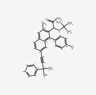 CC(=O)C(OC(C)(C)C)c1c(C)cc2ccc(C#CC(C)(O)c3ccncc3)cc2c1-c1ccc(Cl)cc1